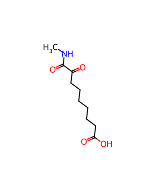 CNC(=O)C(=O)CCCCCCC(=O)O